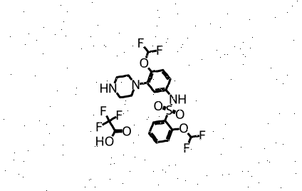 O=C(O)C(F)(F)F.O=S(=O)(Nc1ccc(OC(F)F)c(N2CCNCC2)c1)c1ccccc1OC(F)F